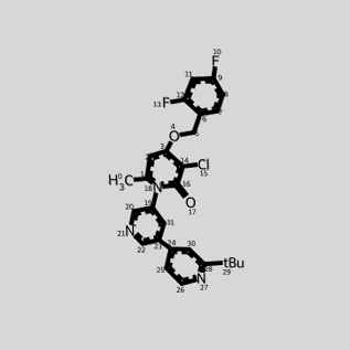 Cc1cc(OCc2ccc(F)cc2F)c(Cl)c(=O)n1-c1cncc(-c2ccnc(C(C)(C)C)c2)c1